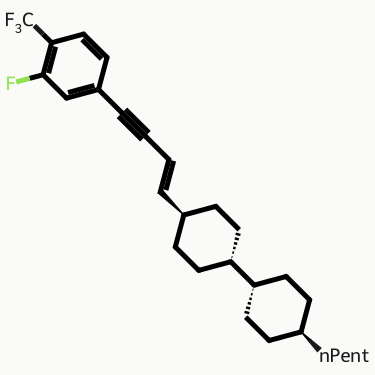 CCCCC[C@H]1CC[C@H]([C@H]2CC[C@H](C=CC#Cc3ccc(C(F)(F)F)c(F)c3)CC2)CC1